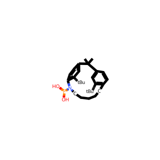 CC(C)(C)c1cc2ccc1CCCCCN(P(O)O)c1ccc(cc1C(C)(C)C)C2(C)C